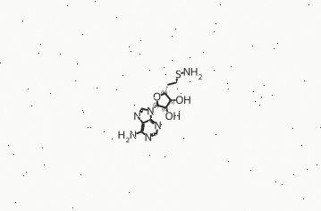 NSCC[C@H]1O[C@@H](n2cnc3c(N)ncnc32)[C@H](O)[C@@H]1O